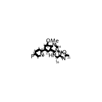 COc1cc(-c2ccc(F)cn2)cc2c(N[C@@H](C)c3noc(C)n3)ncnc12